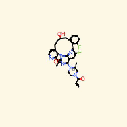 C=CC(=O)N1CCN(c2nc(=O)n3c4nc(c(F)cc24)-c2c(F)cccc2CC(O)CCc2ccnc(C(C)C)c2-3)[C@@H](C)C1